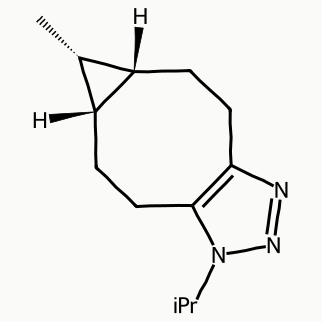 CC(C)n1nnc2c1CC[C@@H]1[C@H](C)[C@@H]1CC2